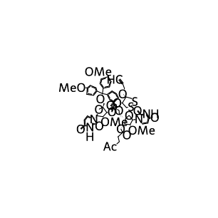 C#CCO[C@@H]1CSSC[C@H]1OP(=O)(OC[C@@H]1O[C@@H](n2ccc(=O)[nH]c2=O)[C@H](OC)[C@@H]1OC(=O)CCC(C)=O)O[C@H]1[C@@H](OC)[C@H](n2ccc(=O)[nH]c2=O)O[C@H]1COC(c1ccccc1)(c1ccc(OC)cc1)c1ccc(OC)cc1